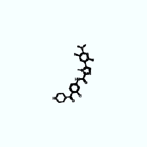 CN(C)c1nc(F)c(-c2cnc(C(=O)Nc3ccc(C(=O)N4CCNCC4)c(Cl)c3)n2C)cc1F